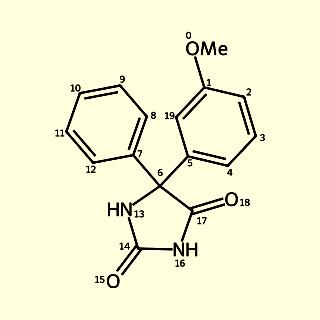 COc1cccc(C2(c3ccccc3)NC(=O)NC2=O)c1